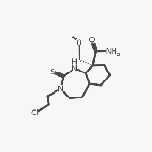 COC[C@]1(C(N)=O)CCCC2CCN(CCCl)C(=S)NC21